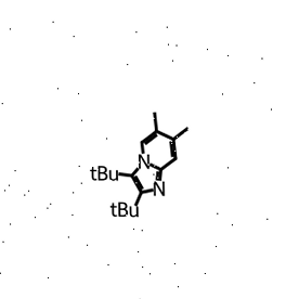 Cc1cc2nc(C(C)(C)C)c(C(C)(C)C)n2cc1C